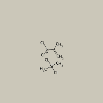 C=C(C)[SiH](Cl)Cl.C[Si](C)(Cl)Cl